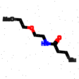 COCCOCCNC(=O)CCC(C)(C)C